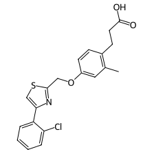 Cc1cc(OCc2nc(-c3ccccc3Cl)cs2)ccc1CCC(=O)O